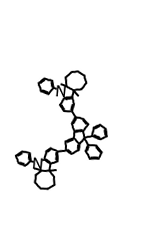 CC12CCCCCCC1(C)N(c1ccccc1)c1ccc(-c3ccc4c(c3)-c3cc(-c5ccc6c(c5)C5(C)CCCCCCC5(C)N6c5ccccc5)ccc3C4(c3ccccc3)c3ccccc3)cc12